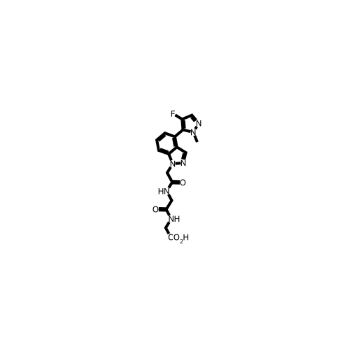 Cn1ncc(F)c1-c1cccc2c1cnn2CC(=O)NCC(=O)NCC(=O)O